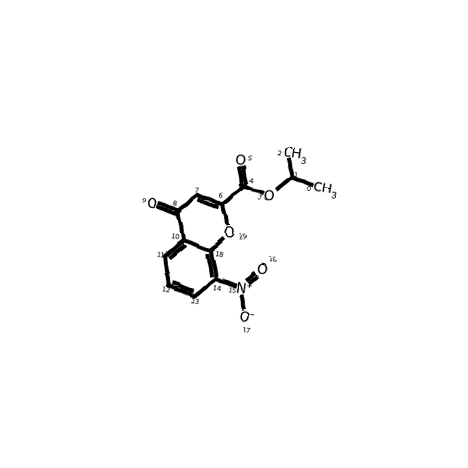 CC(C)OC(=O)c1cc(=O)c2cccc([N+](=O)[O-])c2o1